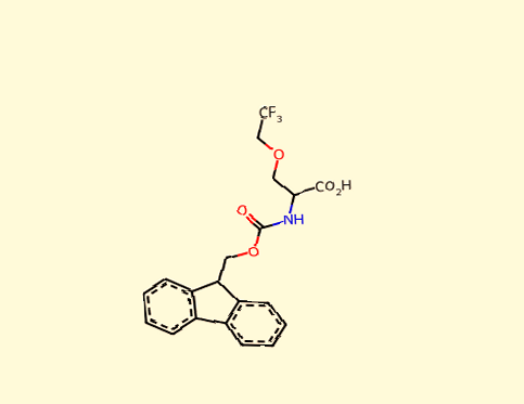 O=C(NC(COCC(F)(F)F)C(=O)O)OCC1c2ccccc2-c2ccccc21